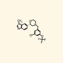 Cn1cnc2ccc([C@H]3CN(Cc4cc(Cl)cc(OC(F)(F)F)c4)CCO3)cc21